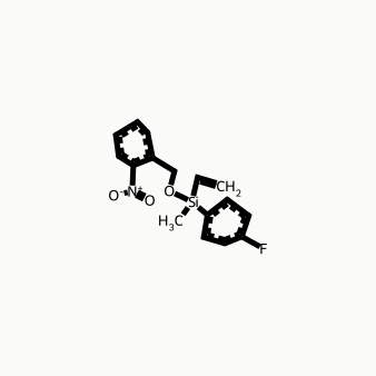 C=C[Si](C)(OCc1ccccc1[N+](=O)[O-])c1ccc(F)cc1